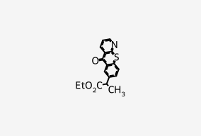 CCOC(=O)C(C)c1ccc2sc3ncccc3c(=O)c2c1